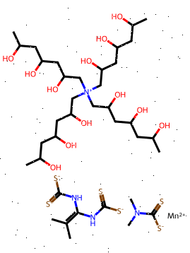 CC(C)=C(NC(=S)[S-])NC(=S)[S-].CC(O)CC(O)CC(O)C[N+](CC(O)CC(O)CC(C)O)(CC(O)CC(O)CC(C)O)CC(O)CC(O)CC(C)O.CN(C)C(=S)[S-].[Mn+2]